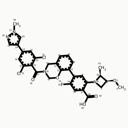 CO[C@H]1CN(c2cc(-c3cccc4c3OCN(C(=O)c3c(Cl)cc(-c5cnn(C)c5)cc3Cl)C4)c(F)cc2C(=O)O)[C@H]1C